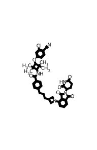 CC1(C)C(NC(=O)c2ccc(CCCC3CN(c4cccc5c4C(=O)N(C4CCC(=O)NC4=O)C5=O)C3)cc2)C(C)(C)C1Oc1ccc(C#N)c(Cl)c1